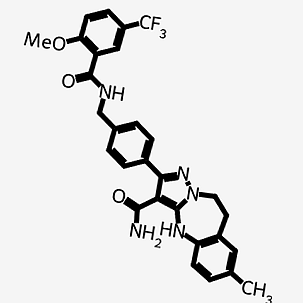 COc1ccc(C(F)(F)F)cc1C(=O)NCc1ccc(-c2nn3c(c2C(N)=O)Nc2ccc(C)cc2CC3)cc1